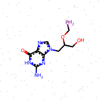 Nc1nc2c(ncn2CC(CO)OCP)c(=O)[nH]1